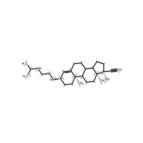 C#C[C@]1(O)CCC2C3CCC4=C[C@H](NCCNC(C)C)CC[C@]4(C)C3CC[C@@]21C